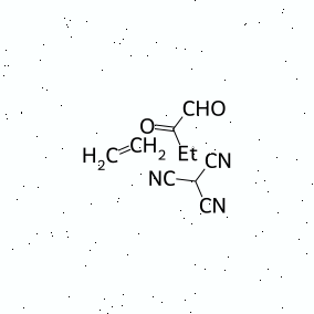 C=C.CCC(=O)C=O.N#CC(C#N)C#N